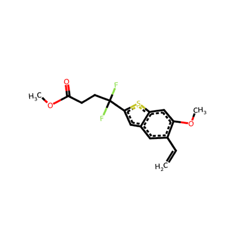 C=Cc1cc2cc(C(F)(F)CCC(=O)OC)sc2cc1OC